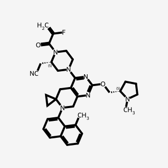 C=C(F)C(=O)N1CCN(c2nc(OC[C@@H]3CCCN3C)nc3c2CC2(CC2)N(c2cccc4cccc(C)c24)C3)C[C@@H]1CC#N